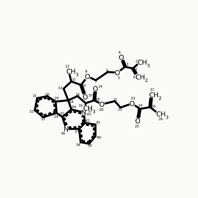 C=C(C)C(=O)OCCOC(=O)C(C)CC1(CC(C)C(=O)OCCOC(=O)C(=C)C)c2ccccc2-c2nc3ccccc3nc21